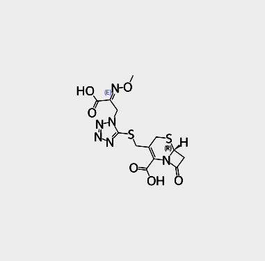 CO/N=C(\Cn1nnnc1SCC1=C(C(=O)O)N2C(=O)C[C@H]2SC1)C(=O)O